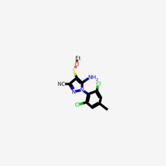 CCOSc1c(C#N)nn(-c2c(Cl)cc(C)cc2Cl)c1N